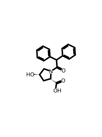 O=C(O)[C@@H]1C[C@H](O)CN1C(=O)C(c1ccccc1)c1ccccc1